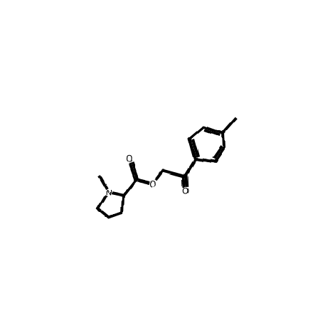 Cc1ccc(C(=O)COC(=O)C2CCCN2C)cc1